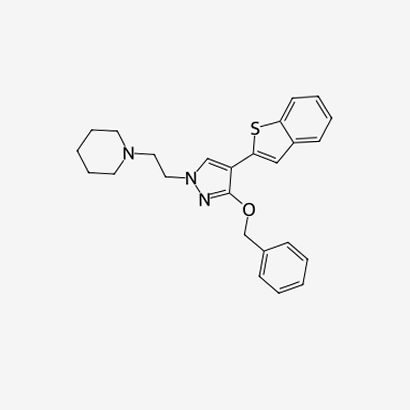 c1ccc(COc2nn(CCN3CCCCC3)cc2-c2cc3ccccc3s2)cc1